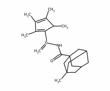 [CH2]=[Ti]([NH]C(=O)C12CC3CC(CC(C)(C3)C1)C2)[C]1=C(C)C(C)=C(C)C1C